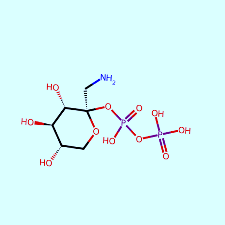 NC[C@]1(OP(=O)(O)OP(=O)(O)O)OC[C@H](O)[C@@H](O)[C@@H]1O